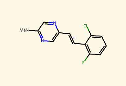 CNc1cnc(/C=C/c2c(F)cccc2Cl)cn1